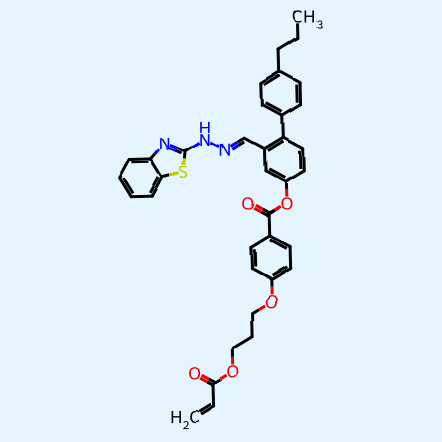 C=CC(=O)OCCCOc1ccc(C(=O)Oc2ccc(-c3ccc(CCC)cc3)c(/C=N/Nc3nc4ccccc4s3)c2)cc1